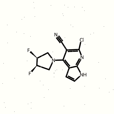 N#Cc1c(Cl)nc2[nH]ccc2c1N1C[C@@H](F)[C@@H](F)C1